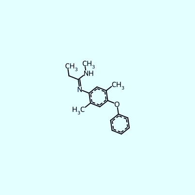 CCC(=Nc1cc(C)c(Oc2ccccc2)cc1C)NC